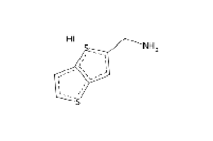 I.NCc1cc2sccc2s1